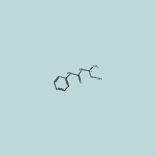 C[C@@H](CO)NC(=O)Nc1ccccc1